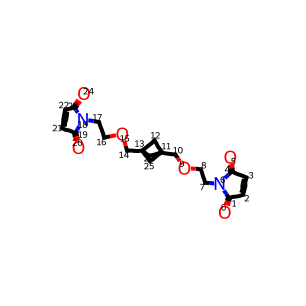 O=C1C=CC(=O)N1CCOCC12CC(COCCN3C(=O)C=CC3=O)(C1)C2